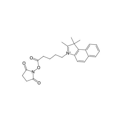 CC1=[N+](CCCCC(=O)ON2C(=O)CCC2=O)c2ccc3ccccc3c2C1(C)C